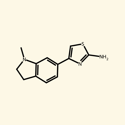 CN1CCc2ccc(-c3csc(N)n3)cc21